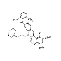 COc1cc(OC)c(Cl)c(-c2cc3cnc(Nc4c(C)cccc4N)cc3n(CCCN3CCCCC3)c2=O)c1Cl